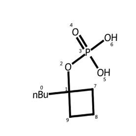 CCCCC1(OP(=O)(O)O)CCC1